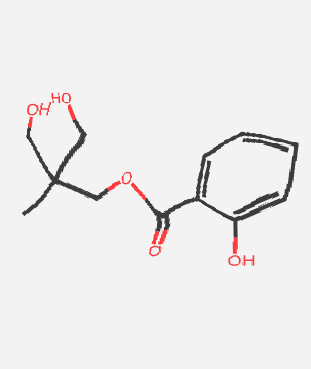 CC(CO)(CO)COC(=O)c1ccccc1O